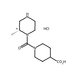 C[C@@H]1CNCCN1C(=O)N1CCC(C(=O)O)CC1.Cl